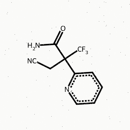 N#CCC(C(N)=O)(c1ccccn1)C(F)(F)F